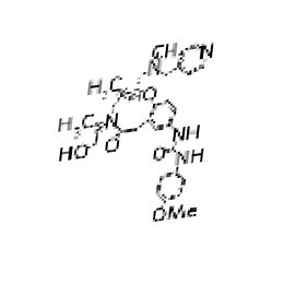 COc1ccc(NC(=O)Nc2ccc3c(c2)CC(=O)N([C@@H](C)CO)C[C@@H](C)[C@H](CN(C)Cc2ccncc2)O3)cc1